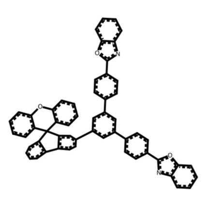 c1ccc2c(c1)Oc1ccccc1C21c2ccccc2-c2ccc(-c3cc(-c4ccc(-c5nc6ccccc6o5)cc4)cc(-c4ccc(-c5nc6ccccc6o5)cc4)c3)cc21